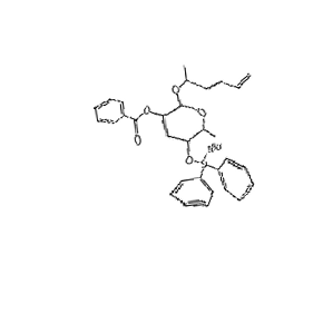 C=CCCC(C)OC1OC(C)C(O[Si](c2ccccc2)(c2ccccc2)C(C)(C)C)CC1OC(=O)c1ccccc1